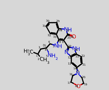 CC(C)C[C@H](N)CNc1c(-c2nc3cc(N4CCOCC4)ccc3[nH]2)c(=O)[nH]c2ccccc12